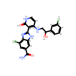 NC(=O)c1cc(Cl)c2nc(-c3c(NCC(O)c4cccc(Cl)c4)cc[nH]c3=O)[nH]c2c1